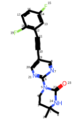 CC1(C)CCN(c2ncc(C#Cc3cc(F)ccc3F)cn2)C(=O)N1